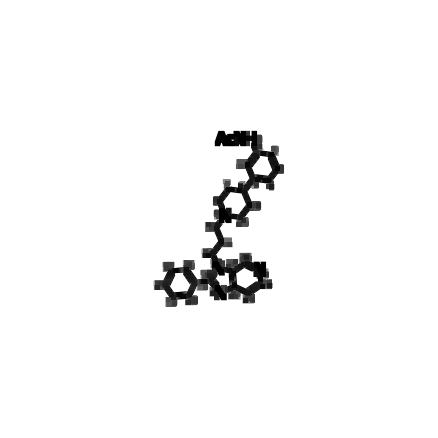 CC(=O)Nc1cccc(C2CCN(CCCn3c(-c4ccccc4)nc4ccncc43)CC2)c1